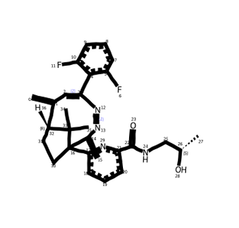 C=C1/C=C(c2c(F)cccc2F)\N=N/C(=C)C2(c3cccc(C(=O)NC[C@H](C)O)n3)CC[C@H]1C2(C)C